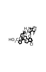 CC(C)N(N)/C(=C(\N)COc1ccc(Cl)c2c1C(CN1CCCC1=O)N(C(=O)C1CCC[C@]1(C)C(=O)O)CC2)C(F)F